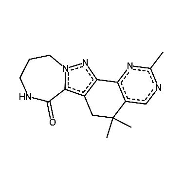 Cc1ncc2c(n1)-c1nn3c(c1CC2(C)C)C(=O)NCCC3